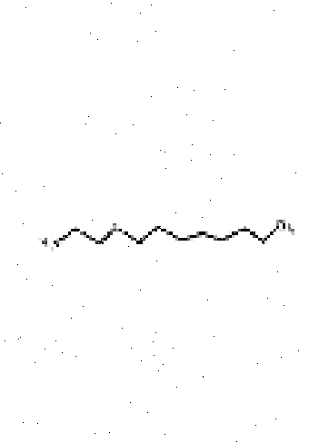 CCCCCCCCSCCN